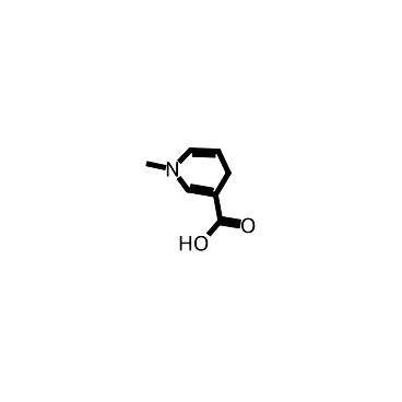 CN1C=CCC(C(=O)O)=C1